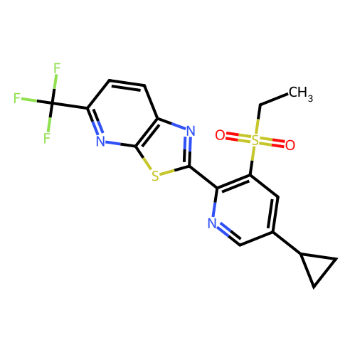 CCS(=O)(=O)c1cc(C2CC2)cnc1-c1nc2ccc(C(F)(F)F)nc2s1